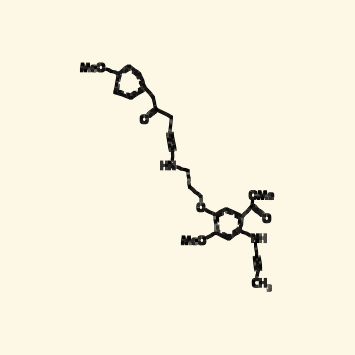 CC#CNc1cc(OC)c(OCCCNC#CCC(=O)Cc2ccc(OC)cc2)cc1C(=O)OC